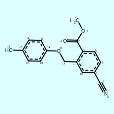 COC(=O)c1ccc(C#N)cc1COc1ccc(O)cc1